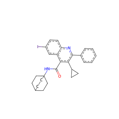 O=C(NC12CCC(CC1)CC2)c1c(C2CC2)c(-c2ccccc2)nc2ccc(I)cc12